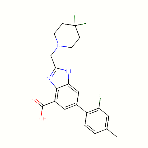 Cc1ccc(-c2cc(C(=O)O)c3nc(CN4CCC(F)(F)CC4)[nH]c3c2)c(Cl)c1